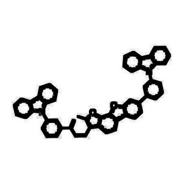 C=C(/C=C\c1c(C)oc2c1ccc1c3ccc(-c4cccc(-n5c6ccccc6c6ccccc65)c4)cc3oc12)c1cccc(-n2c3ccccc3c3ccccc32)c1